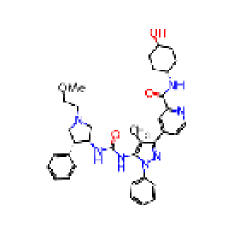 COCCN1C[C@@H](NC(=O)Nc2c(C)c(-c3ccnc(C(=O)N[C@H]4CC[C@H](O)CC4)c3)nn2-c2ccccc2)[C@H](c2ccccc2)C1